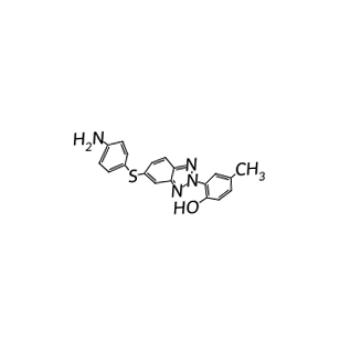 Cc1ccc(O)c(-n2nc3ccc(Sc4ccc(N)cc4)cc3n2)c1